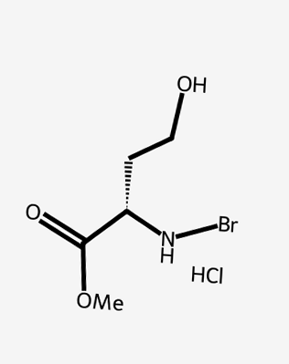 COC(=O)[C@H](CCO)NBr.Cl